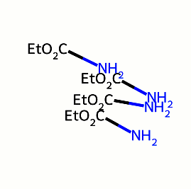 CCOC(N)=O.CCOC(N)=O.CCOC(N)=O.CCOC(N)=O